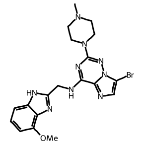 COc1cccc2[nH]c(CNc3nc(N4CCN(C)CC4)nn4c(Br)cnc34)nc12